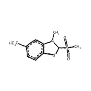 CN1c2cc(C(=O)O)ccc2SC1S(C)(=O)=O